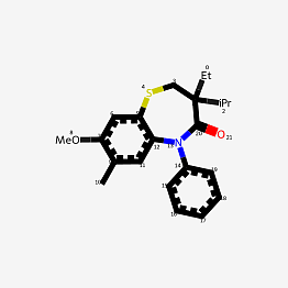 CCC1(C(C)C)CSc2cc(OC)c(C)cc2N(c2ccccc2)C1=O